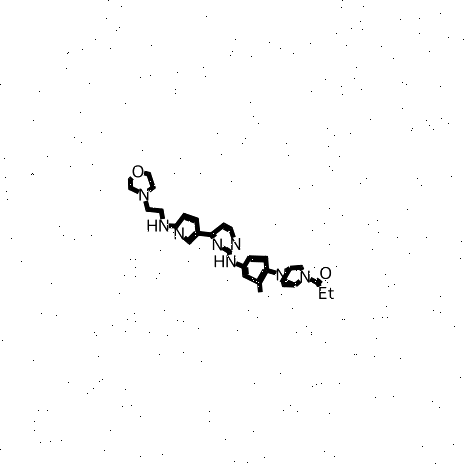 CCC(=O)N1CC2CC1CN2c1ccc(Nc2nccc(-c3ccc(NCCN4CCOCC4)nc3)n2)cc1C